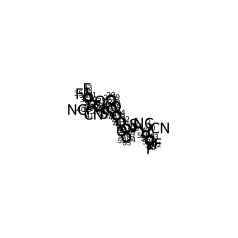 N#CC(C#N)=C1/C(=C/c2cc3c(s2)C2=CC4C=C5OC6(CCCCC6)c6cc(/C=C7\C(=O)c8cc(F)c(F)cc8C7=C(C#N)C#N)sc6C5=CC4C=C2OC32CCCCC2)Cc2cc(F)c(F)cc21